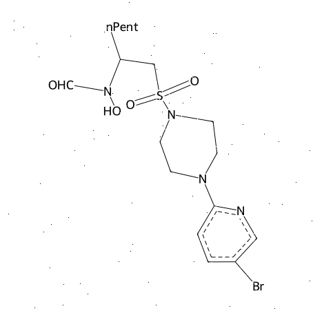 CCCCCC(CS(=O)(=O)N1CCN(c2ccc(Br)cn2)CC1)N(O)C=O